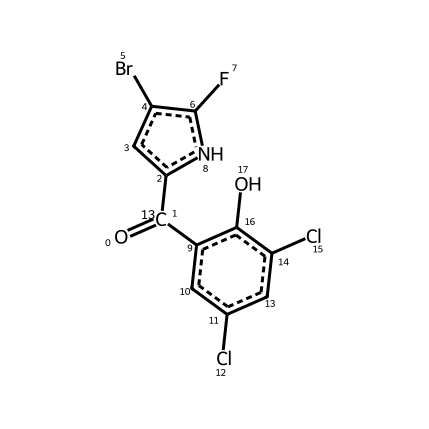 O=[13C](c1cc(Br)c(F)[nH]1)c1cc(Cl)cc(Cl)c1O